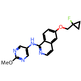 COc1ncc(Nc2nccc3cc(OCC4(F)CC4)ccc23)cn1